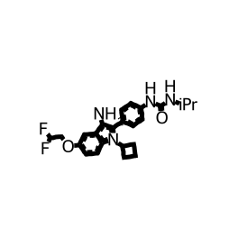 CC(C)NC(=O)Nc1ccc(-c2c(N)c3cc(OCC(F)F)ccc3n2C2CCC2)cc1